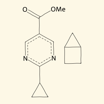 C1CC2CC12.COC(=O)c1cnc(C2CC2)nc1